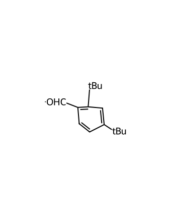 CC(C)(C)c1ccc([C]=O)c(C(C)(C)C)c1